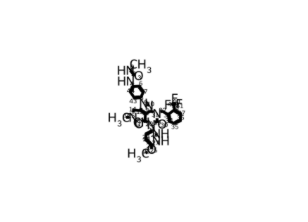 CNC(=O)Nc1ccc(-n2nc3c(c2CN(C)C)c(=O)n(C2=CC=C(OC)NN2)c(=O)n3Cc2ccccc2C(F)(F)F)cc1